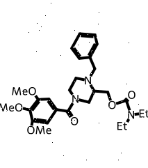 CCN(CC)C(=O)OCC1CN(C(=O)c2cc(OC)c(OC)c(OC)c2)CCN1Cc1ccccc1